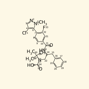 Cn1ncc(Cl)c1-c1ccc(C(=O)NC(Cc2ccccc2)CN(C(=O)O)C(C)(C)C)cc1F